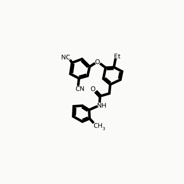 CCc1ccc(CC(=O)Nc2ccccc2C)cc1Oc1cc(C#N)cc(C#N)c1